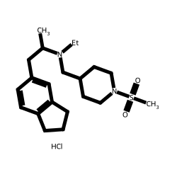 CCN(CC1CCN(S(C)(=O)=O)CC1)C(C)Cc1ccc2c(c1)CCC2.Cl